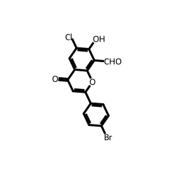 O=Cc1c(O)c(Cl)cc2c(=O)cc(-c3ccc(Br)cc3)oc12